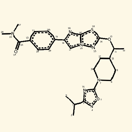 CC(C)c1noc(N2CCC(C(C)Oc3nn4cc(-c5ccc(C(=O)N(C)C)cc5)nc4s3)CC2)n1